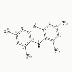 CCc1cc([N+](=O)[O-])cc([N+](=O)[O-])c1Nc1ccc([N+](=O)[O-])cc1[N+](=O)[O-]